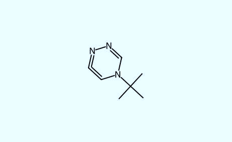 CC(C)(C)N1C=C=NN=C1